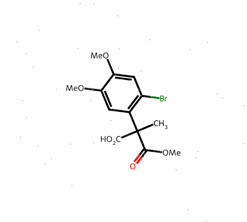 COC(=O)C(C)(C(=O)O)c1cc(OC)c(OC)cc1Br